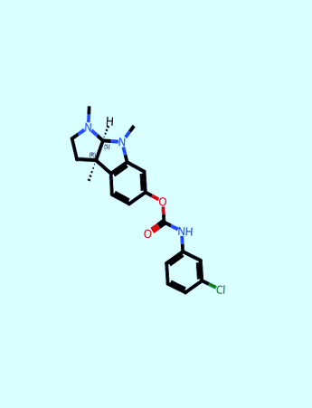 CN1CC[C@]2(C)c3ccc(OC(=O)Nc4cccc(Cl)c4)cc3N(C)[C@H]12